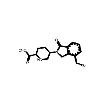 O=CC(=O)C1CCC(N2Cc3c(CBr)cccc3C2=O)CN1